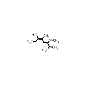 CC/C(C)=C(C)\C=C(/SC)C(C)C